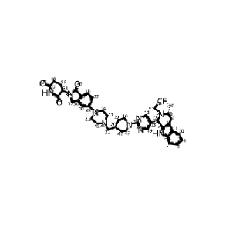 C[C@@H]1Cc2c([nH]c3ccccc23)[C@@H](c2cnc(N3CCC(CN4CCN(c5ccc6c(c5)CN(C5CCC(=O)NC5=O)C6=O)CC4)CC3)nc2)N1CC(F)(F)F